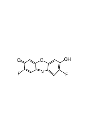 O=c1cc2oc3cc(O)c(F)cc3nc-2cc1F